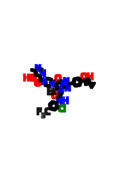 CCc1c(N2CCN(C(=O)c3ncnc(C)c3O)CC2)c(=O)n2nc(-c3ccc(C4(O)CC5(CC5)C4)cc3)nc2n1CC(=O)Nc1ccc(C(F)(F)F)cc1Cl